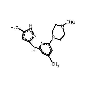 Cc1cc(Nc2cc(C)[nH]n2)nc(N2CCN(C=O)CC2)c1